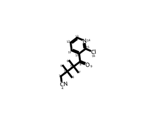 CC(C)(CC#N)C(C)(C)C(=O)c1cccnc1Cl